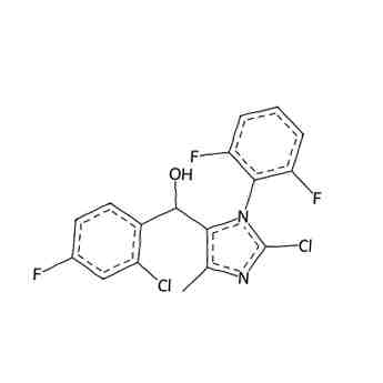 Cc1nc(Cl)n(-c2c(F)cccc2F)c1C(O)c1ccc(F)cc1Cl